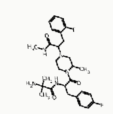 CNC(=O)C(Cc1ccccc1F)N1CCN(C(=O)C(Cc2ccc(F)cc2)NC(=O)C(C)(C)N)C(C)C1